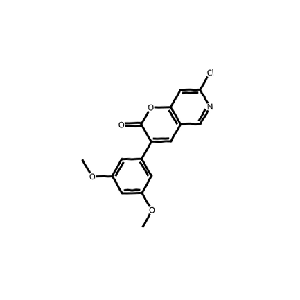 COc1cc(OC)cc(-c2cc3cnc(Cl)cc3oc2=O)c1